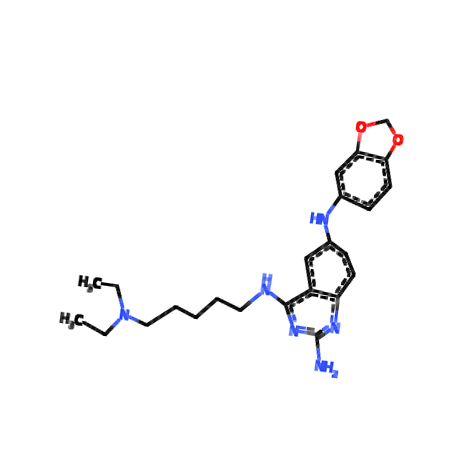 CCN(CC)CCCCCNc1nc(N)nc2ccc(Nc3ccc4c(c3)OCO4)cc12